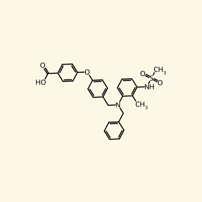 Cc1c(NS(C)(=O)=O)cccc1N(Cc1ccccc1)Cc1ccc(Oc2ccc(C(=O)O)cc2)cc1